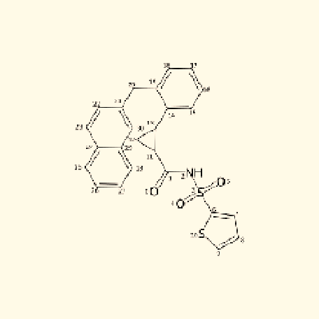 O=C(NS(=O)(=O)c1cccs1)C1CC1c1ccccc1Cc1ccc2ccccc2c1